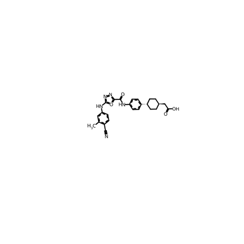 Cc1cc(Nc2nnc(C(=O)Nc3ccc([C@H]4CC[C@H](CC(=O)O)CC4)cc3)o2)ccc1C#N